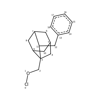 ClOCC12CC3CC(CC1C3)C2Cc1ccccc1